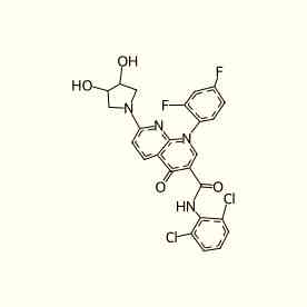 O=C(Nc1c(Cl)cccc1Cl)c1cn(-c2ccc(F)cc2F)c2nc(N3CC(O)C(O)C3)ccc2c1=O